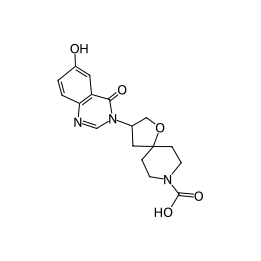 O=C(O)N1CCC2(CC1)CC(n1cnc3ccc(O)cc3c1=O)CO2